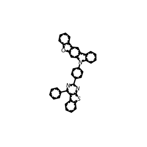 c1ccc(-c2nc(-c3ccc(-n4c5ccccc5c5cc6c(cc54)oc4ccccc46)cc3)nc3sc4ccccc4c23)cc1